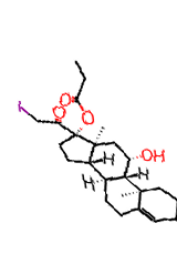 CCC(=O)O[C@@]1(C(=O)CI)CC[C@H]2[C@@H]3CCC4=CC(=O)CC[C@]4(C)[C@H]3[C@@H](O)C[C@@]21C